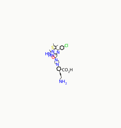 CC(=N)N1C(=N)[C@H](CC(=O)N2CCN(c3ccc(C#CCCN)c(C(=O)O)c3)CC2)N=C(c2ccc(Cl)cc2)c2c1sc(C)c2C